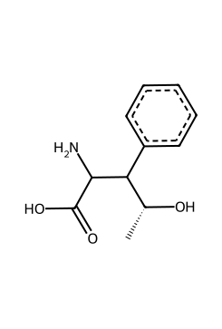 C[C@@H](O)C(c1ccccc1)C(N)C(=O)O